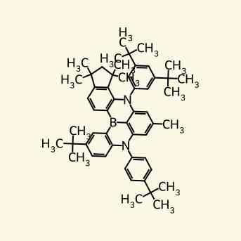 Cc1cc2c3c(c1)N(c1cc(C(C)(C)C)cc(C(C)(C)C)c1)c1c(ccc4c1C(C)(C)CC4(C)C)B3c1cc(C(C)(C)C)ccc1N2c1ccc(C(C)(C)C)cc1